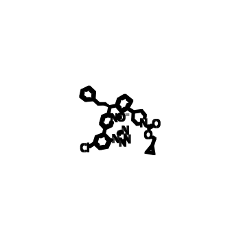 O=C(OCC1CC1)N1CCC(c2cccc([C@H](CCc3ccccc3)c3ccc(-c4cc(Cl)ccc4-n4cnnn4)c[n+]3[O-])c2)CC1